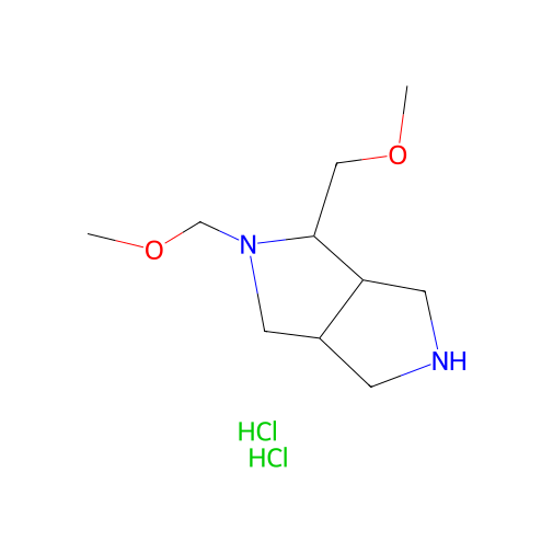 COCC1C2CNCC2CN1COC.Cl.Cl